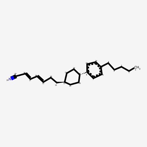 CCCCCc1ccc([C@H]2CC[C@H](CCC=CC=CC#N)CC2)cc1